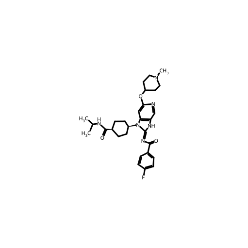 CC(C)NC(=O)[C@H]1CC[C@@H](n2/c(=N/C(=O)c3ccc(F)cc3)[nH]c3cnc(OC4CCN(C)CC4)cc32)CC1